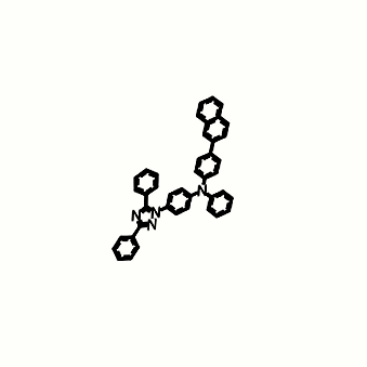 c1ccc(-c2nc(-c3ccccc3)n(-c3ccc(N(c4ccccc4)c4ccc(-c5ccc6ccccc6c5)cc4)cc3)n2)cc1